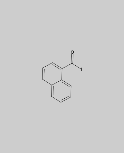 O=C(I)c1cccc2ccccc12